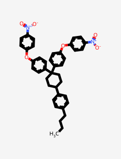 CCCCc1ccc(C2CCC(c3ccc(Oc4ccc([N+](=O)[O-])cc4)cc3)(c3ccc(Oc4ccc([N+](=O)[O-])cc4)cc3)CC2)cc1